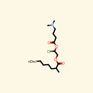 CCCCCCCCCCCCCCC(C)C(=O)OCC(Cl)OC(=O)CCCN(C)C